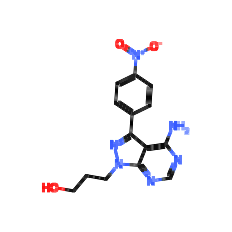 Nc1ncnc2c1c(-c1ccc([N+](=O)[O-])cc1)nn2CCCO